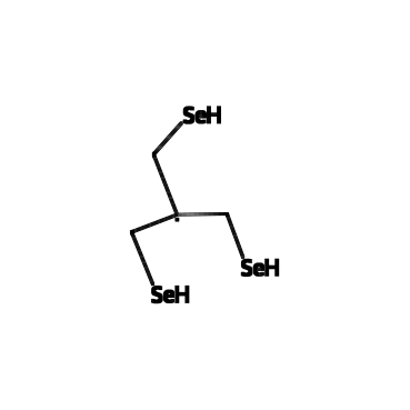 [SeH]C[C](C[SeH])C[SeH]